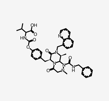 CC(C)C(NC(=O)Oc1ccc(C[C@H]2C(=O)N(Cc3cccc4cccnc34)[C@@H](C)C3N2C(=O)CN(C)N3C(=O)NCc2ccccc2)cc1)C(=O)O